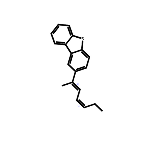 CC/C=C\C=C(/C)c1ccc2sc3ccccc3c2c1